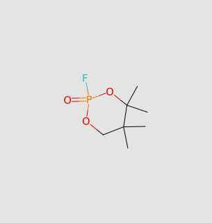 CC1(C)COP(=O)(F)OC1(C)C